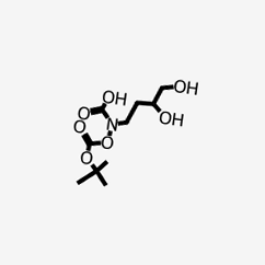 CC(C)(C)OC(=O)ON(CCC(O)CO)C(=O)O